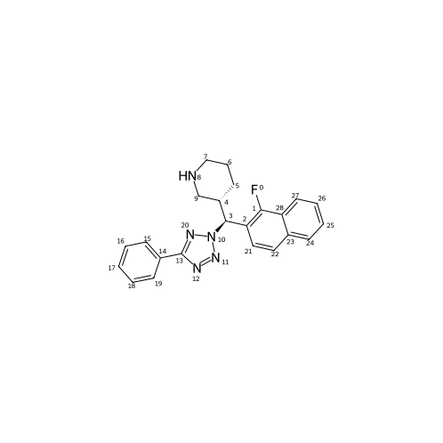 Fc1c([C@H]([C@H]2CCCNC2)n2nnc(-c3ccccc3)n2)ccc2ccccc12